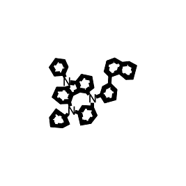 c1ccc(N2c3cccc(c3)N(c3cccc(-c4cccc5ccccc45)c3)c3cccc4c3c3c2cccc3n4-c2ccccc2)cc1